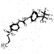 CCCS(=O)(=O)c1ccc(CC(=O)Nc2ccc(C(C)(O)C(F)(F)F)cc2)cc1